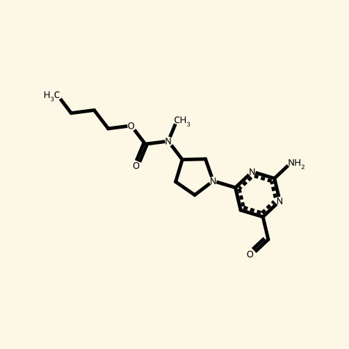 CCCCOC(=O)N(C)C1CCN(c2cc(C=O)nc(N)n2)C1